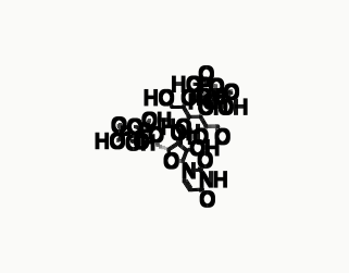 O=C[C@H](O)[C@@H](O)[C@@H](O)[C@H](O)CO.O=P(O)(O)OP(=O)(O)O.O=c1ccn([C@@H]2O[C@H](COP(=O)(O)OP(=O)(O)O)[C@@H](O)[C@H]2O)c(=O)[nH]1